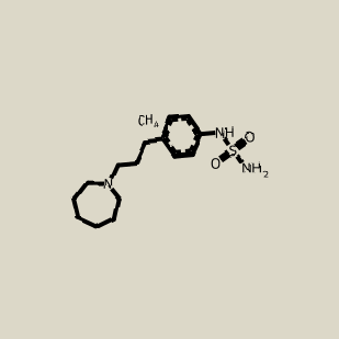 C.NS(=O)(=O)Nc1ccc(CCCN2CCCCCC2)cc1